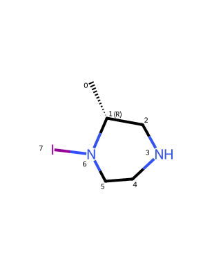 C[C@@H]1CNCCN1I